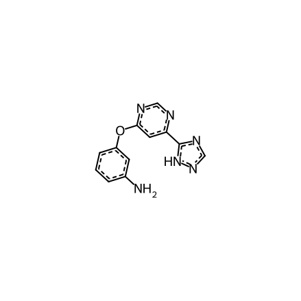 Nc1cccc(Oc2cc(-c3ncn[nH]3)ncn2)c1